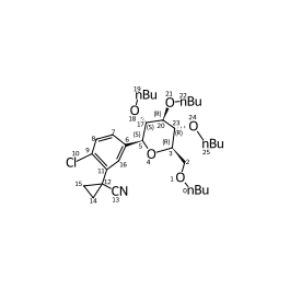 CCCCOC[C@H]1O[C@@H](c2ccc(Cl)c(C3(C#N)CC3)c2)[C@H](OCCCC)[C@@H](OCCCC)[C@@H]1OCCCC